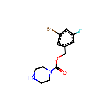 O=C(OCc1cc(F)cc(Br)c1)N1CCNCC1